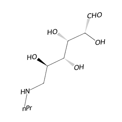 CCCNC[C@@H](O)[C@@H](O)[C@H](O)[C@@H](O)C=O